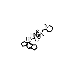 CN1CCCCC1CN(C)S(=O)(=O)NC(=O)Nc1c2c(cc3c1CCC3)CCC2